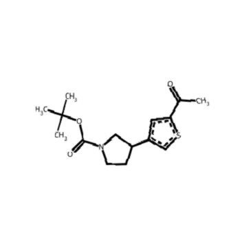 CC(=O)c1cc(C2CCN(C(=O)OC(C)(C)C)C2)cs1